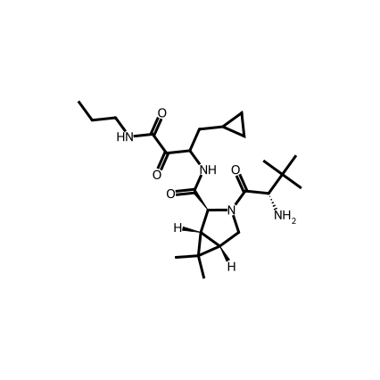 CCCNC(=O)C(=O)C(CC1CC1)NC(=O)[C@@H]1[C@@H]2[C@H](CN1C(=O)[C@@H](N)C(C)(C)C)C2(C)C